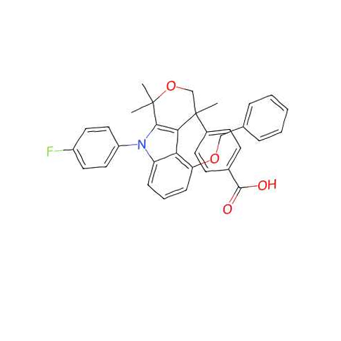 CC1(C)OCC(C)(c2ccc(C(=O)O)cc2)c2c1n(-c1ccc(F)cc1)c1cccc(OCc3ccccc3)c21